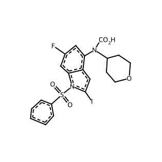 O=C(O)N(c1cc(F)cc2c1cc(I)n2S(=O)(=O)c1ccccc1)C1CCOCC1